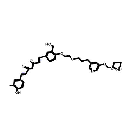 Cc1cc(/C=C/C(=O)CC(=O)/C=C/c2ccc(OCCOCCCc3cncc(OC[C@@H]4CCCN4)c3)c(CO)c2)ccc1O